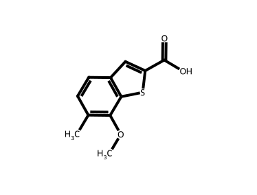 COc1c(C)ccc2cc(C(=O)O)sc12